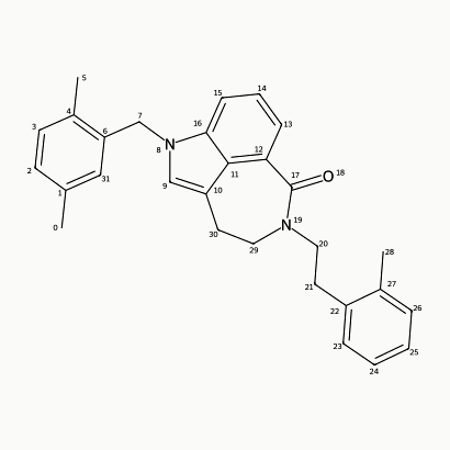 Cc1ccc(C)c(Cn2cc3c4c(cccc42)C(=O)N(CCc2ccccc2C)CC3)c1